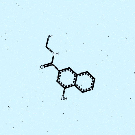 CC(C)CNC(=O)c1cc(O)c2ccccc2c1